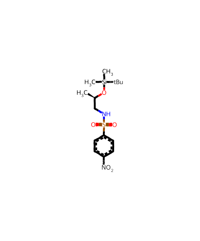 C[C@H](CNS(=O)(=O)c1ccc([N+](=O)[O-])cc1)O[Si](C)(C)C(C)(C)C